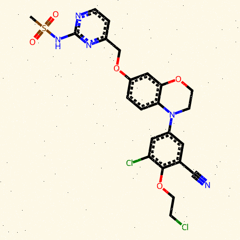 CS(=O)(=O)Nc1nccc(COc2ccc3c(c2)OCCN3c2cc(Cl)c(OCCCl)c(C#N)c2)n1